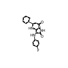 O=c1[nH]n2c(=O)cc(-c3ccccc3)[nH]c2c1Nc1ccc(F)cc1